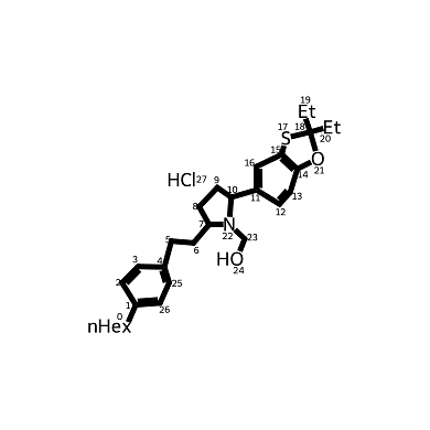 CCCCCCc1ccc(CCC2CCC(c3ccc4c(c3)SC(CC)(CC)O4)N2CO)cc1.Cl